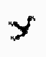 C=CC(=O)OCCCCCCOc1ccc(C(=O)Oc2cccc(-c3nc4ccc(OCCOCCOC(=O)C=C)cc4nc3-c3cccc(OC(=O)c4ccc(OCCCCCCOC(=O)C=C)cc4)c3)c2)cc1